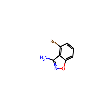 Nc1noc2cccc(Br)c12